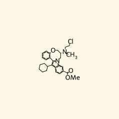 COC(=O)c1ccc2c(C3CCCCC3)c3n(c2c1)C[C@@H](N(C)CCCl)COc1ccccc1-3